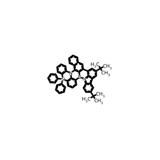 CC(C)(C)c1ccc2c(c1)c1cc(C(C)(C)C)cc3c1n2B1c2cccc4c2N(c2ccccc2[Si]4(c2ccccc2)c2ccccc2)c2c1c-3cc1ccccc21